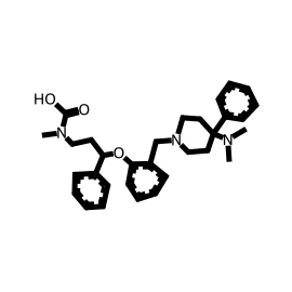 CN(CCC(Oc1ccccc1CN1CCC(c2ccccc2)(N(C)C)CC1)c1ccccc1)C(=O)O